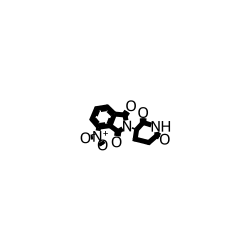 O=C1CC[C@H](N2C(=O)c3cccc([N+](=O)[O-])c3C2=O)C(=O)N1